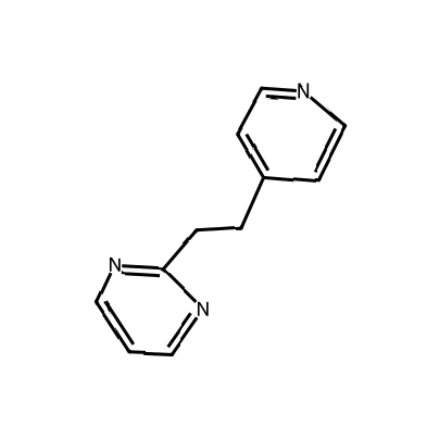 c1cnc(CCc2ccncc2)nc1